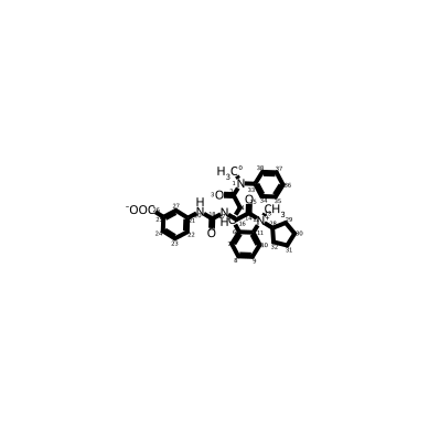 CN(C(=O)COc1ccccc1[N+](C)(C(=O)CNC(=O)Nc1cccc(C(=O)[O-])c1)C1CCCC1)c1ccccc1